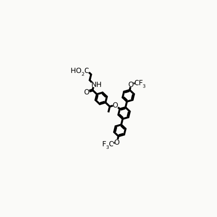 CC(Oc1cc(-c2ccc(OC(F)(F)F)cc2)ccc1-c1ccc(OC(F)(F)F)cc1)c1ccc(C(=O)NCCC(=O)O)cc1